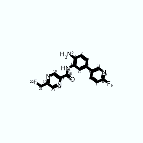 Nc1ccc(-c2ccc(F)nc2)cc1NC(=O)c1cnc(CF)cn1